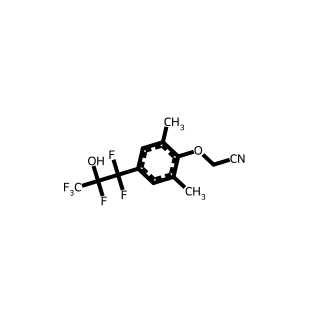 Cc1cc(C(F)(F)C(O)(F)C(F)(F)F)cc(C)c1OCC#N